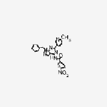 Cc1ccc(-c2nc(NC(=O)c3ccc([N+](=O)[O-])s3)c3cnn(Cc4ccccc4)c3n2)cn1